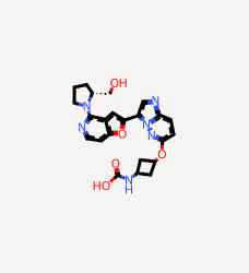 O=C(O)NC1CC(Oc2ccc3ncc(-c4cc5c(N6CCC[C@@H]6CO)nccc5o4)n3n2)C1